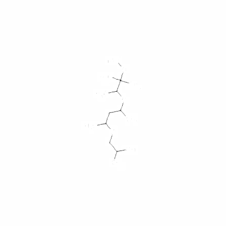 CCCOC(C)(C)C(C)OC(C)CC(C)OCC(C)O